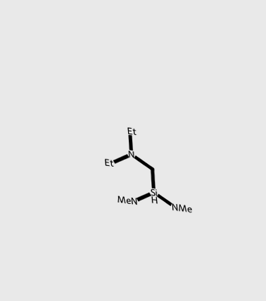 CCN(CC)C[SiH](NC)NC